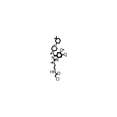 COc1cc2nc(N(C)CCCNC(=O)CCl)nc(N(C)C3CCN(C4CCCC(C)(C)C4)CC3)c2cc1OC